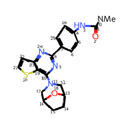 CNC(=O)Nc1ccc(-c2nc(N3CC4CCC(C3)O4)c3sccc3n2)cc1